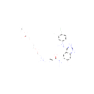 COc1cc2ncnc(Nc3ccc(F)c(Cl)c3)c2cc1NC(=O)/C=C/CN(C)CCOCCOCC(=O)OC(C)(C)C